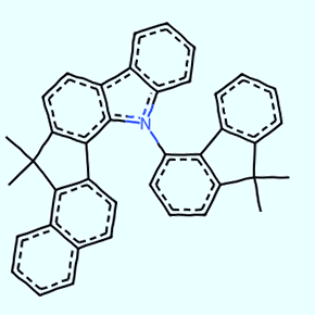 CC1(C)c2ccccc2-c2c(-n3c4ccccc4c4ccc5c(c43)-c3ccc4ccccc4c3C5(C)C)cccc21